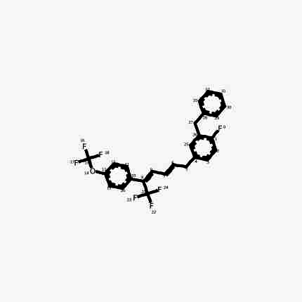 Fc1ccc(CC=CC=C(c2ccc(OC(F)(F)F)cc2)C(F)(F)F)cc1Cc1ccccc1